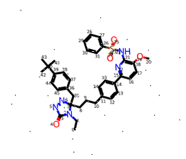 CCN1C(=O)N=NC1(CCCc1ccc(-c2ccc(OC)c(NS(=O)(=O)c3ccccc3)n2)cc1)Cc1ccc(C(C)(C)C)cc1